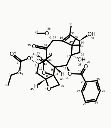 CCSC(=O)O[C@H]1C[C@H]2OC[C@@]2(OC(C)=O)[C@H]2[C@H](OC(=O)c3ccccc3)[C@]3(O)C[C@H](O)C(C)=C([C@@H](OC)C(=O)[C@]12C)C3(C)C